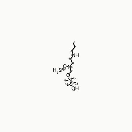 CCCNCCN(CO[Si](C)(C)[Si](C)(C)O)O[SiH3]